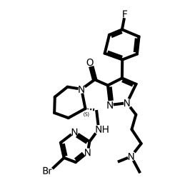 CN(C)CCCn1cc(-c2ccc(F)cc2)c(C(=O)N2CCCC[C@H]2CNc2ncc(Br)cn2)n1